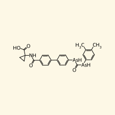 Cc1ccc([AsH]C(=O)[AsH]c2ccc(-c3ccc(C(=O)NC4(C(=O)O)CC4)cc3)cc2)cc1C